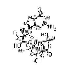 CC(C)(OP(=O)(O)OP(=O)(O)OP(=O)(O)O)[C@H]1O[C@@H](n2cnc3c(=O)[nH]c(N)nc32)[C@@](Cl)(CF)C1O